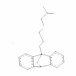 CC(C)CNCCCC12CC(c3ccccc31)c1ccccc12.Cl